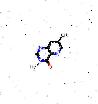 Cc1cnc2c(=O)n(C)cnc2c1